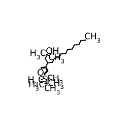 CCCCCCCCCCCCC(CC(C)(C)O)c1coc([Si](C)(C)C(C)(C)C)c1